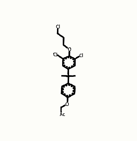 CC(=O)COc1ccc(C(C)(C)c2cc(Cl)c(OCCCCl)c(Cl)c2)cc1